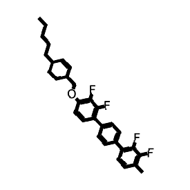 CCCCCC1C=CC(COc2ccc(-c3ccc(-c4ccc(C)c(F)c4F)cc3)c(F)c2F)CC1